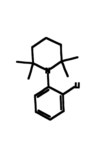 [Li][c]1ccccc1N1C(C)(C)CCCC1(C)C